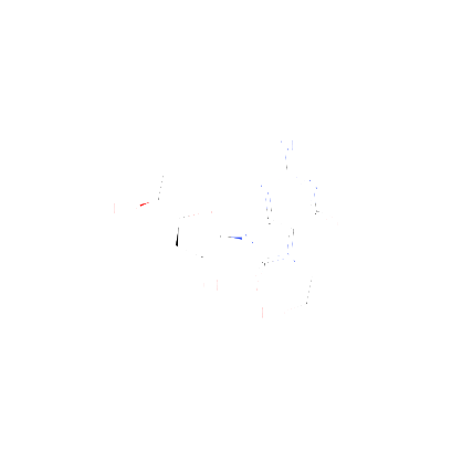 CC[C@H](O)[C@@H]1C[C@@H](O)[C@H](n2c(=O)n(CC(C)O)c3c(=O)[nH]c(N)nc32)O1